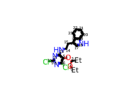 CCOC(CC)Oc1c(Cl)nc(Cl)nc1NCCc1c[nH]c2ccccc12